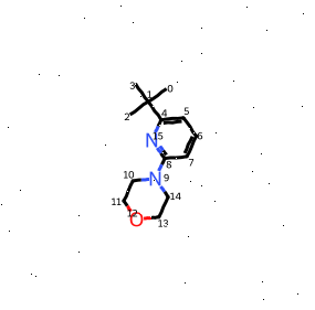 CC(C)(C)c1cccc(N2CCOCC2)n1